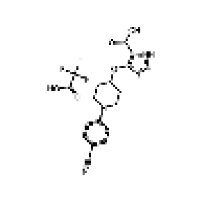 N#Cc1ccc(N2CCC(Oc3nn[nH]c3C(=O)O)CC2)cc1.O=C(O)C(F)(F)F